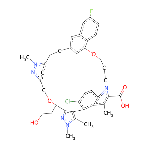 Cc1c(C(=O)O)n2c3ccc(Cl)c(c13)-c1c(nn(C)c1C)C(CCO)OCc1cc(n(C)n1)CCc1cc(c3ccc(F)cc3c1)OCCC2